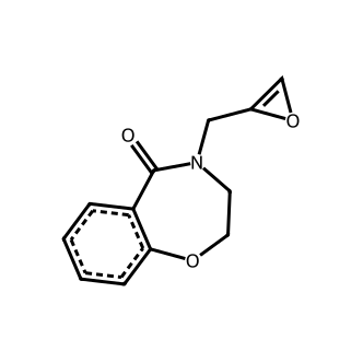 O=C1c2ccccc2OCCN1CC1=CO1